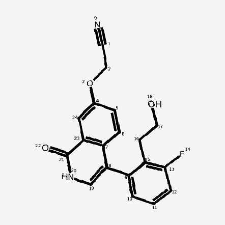 N#CCOc1ccc2c(-c3cccc(F)c3CCO)c[nH]c(=O)c2c1